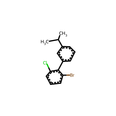 CC(C)c1cccc(-c2c(Cl)cccc2Br)c1